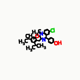 CC(C)c1ccc(CC2N=C(c3ccc(O)cc3)c3cc(Cl)ccc3N(C)C2=O)c(C(C)C)c1